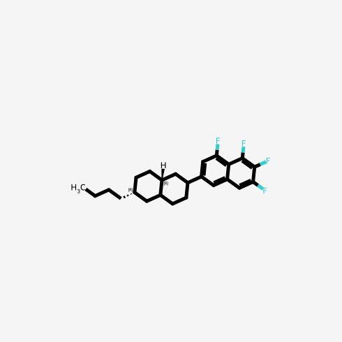 CCCC[C@@H]1CC[C@@H]2CC(c3cc(F)c4c(F)c(F)c(F)cc4c3)CCC2C1